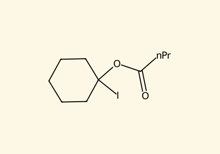 CCCC(=O)OC1(I)CCCCC1